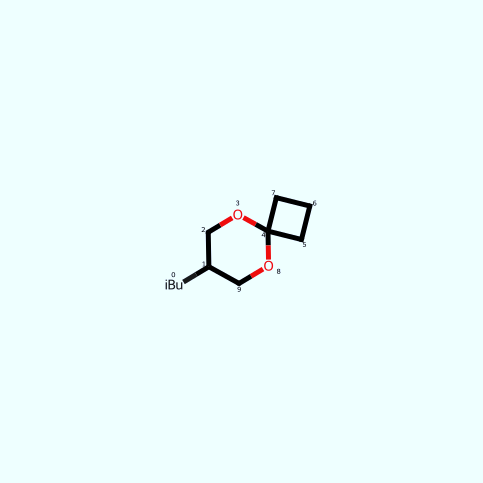 CCC(C)C1COC2(CCC2)OC1